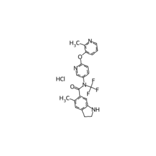 Cc1cc2c(cc1C(=O)N(c1ccc(Oc3cccnc3C)nc1)C(F)(F)F)NCC2.Cl